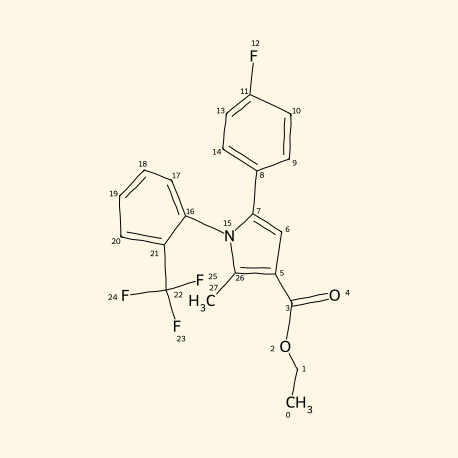 CCOC(=O)c1cc(-c2ccc(F)cc2)n(-c2ccccc2C(F)(F)F)c1C